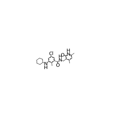 Cc1cc(C)c(CNC(=O)c2cc(Cl)cc(NC3CCCCC3)c2C)c(=O)[nH]1